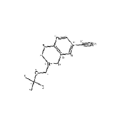 CC(C)(C)OCN1CCc2ccc(C#N)cc2C1